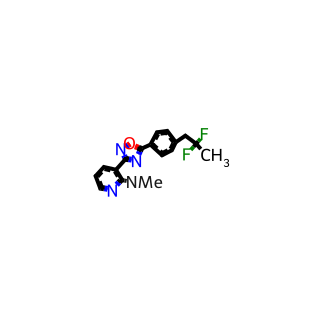 CNc1ncccc1-c1noc(-c2ccc(CC(C)(F)F)cc2)n1